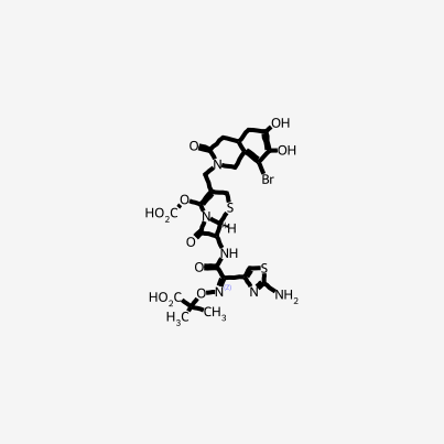 CC(C)(O/N=C(\C(=O)NC1C(=O)N2C(OC(=O)O)=C(CN3CC4=C(Br)C(O)=C(O)CC4CC3=O)CS[C@@H]12)c1csc(N)n1)C(=O)O